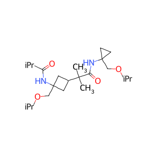 CC(C)OCC1(NC(=O)C(C)C)CC(C(C)(C)C(=O)NC2(COC(C)C)CC2)C1